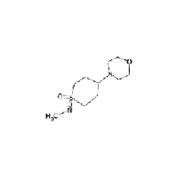 CN=S1(=O)CCC(N2CCOCC2)CC1